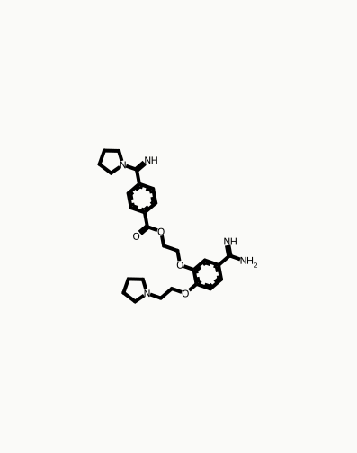 N=C(N)c1ccc(OCCN2CCCC2)c(OCCOC(=O)c2ccc(C(=N)N3CCCC3)cc2)c1